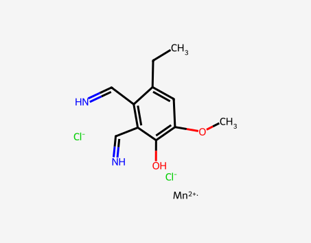 CCc1cc(OC)c(O)c(C=N)c1C=N.[Cl-].[Cl-].[Mn+2]